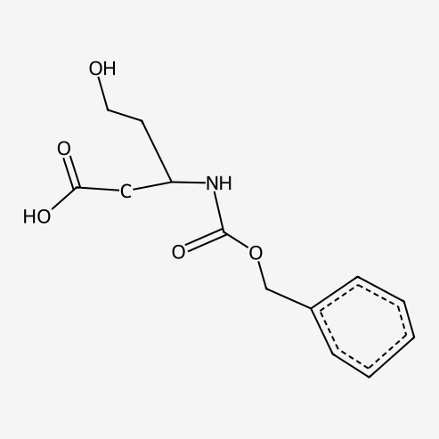 O=C(O)CC(CCO)NC(=O)OCc1ccccc1